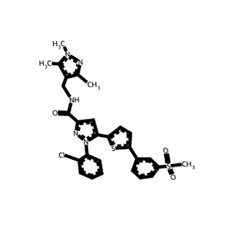 Cc1nn(C)c(C)c1CNC(=O)c1cc(-c2ccc(-c3cccc(S(C)(=O)=O)c3)s2)n(-c2ccccc2Cl)n1